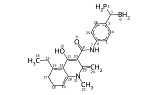 BC(P)c1ccc(NC(=O)C2=C(O)C3=C(CC)CCC=C3N(C)C2=C)cc1